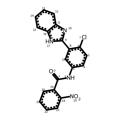 O=C(Nc1ccc(Cl)c(-c2nc3ccccc3[nH]2)c1)c1ccccc1[N+](=O)[O-]